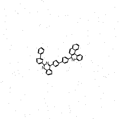 c1ccc(-c2cccc(-c3nc(-c4ccc(-c5ccc(-c6nc7ccccc7c7c6ccc6ccccc67)cc5)cc4)c4ccccc4n3)c2)cc1